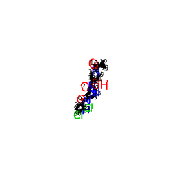 O=C(Nc1cc2c(=O)n(CC3(O)CCN(C(=O)C4CC4)CC3)cnn2c1)c1ccc(Cl)cc1Cl